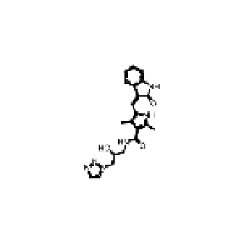 Cc1[nH]c(C=C2C(=O)Nc3ccccc32)c(C)c1C(=O)NCC(O)Cn1ccnn1